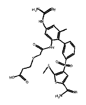 CSc1sc(C(=N)N)cc1S(=O)(=O)c1cccc(-c2c(C)cc(NC(=N)N)cc2NC(=O)CSCCC(=O)O)c1